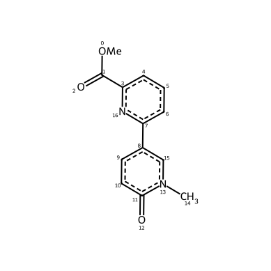 COC(=O)c1cccc(-c2ccc(=O)n(C)c2)n1